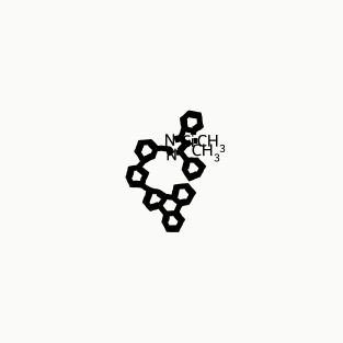 C[Si]1(C)c2ccccc2-c2nc(-c3cccc(-c4cccc(-c5ccc6c7ccccc7c7ccccc7c6c5)c4)c3)nc(-c3ccccc3)c21